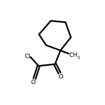 CC1(C(=O)C(=O)Cl)CCCCC1